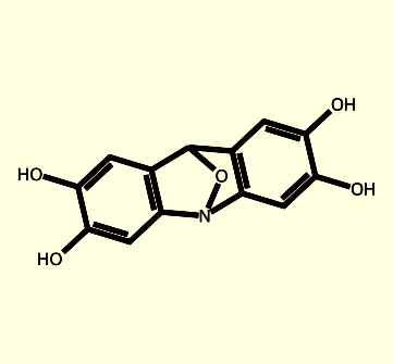 Oc1cc2c(cc1O)N1OC2c2cc(O)c(O)cc21